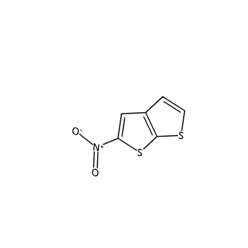 O=[N+]([O-])c1cc2ccsc2s1